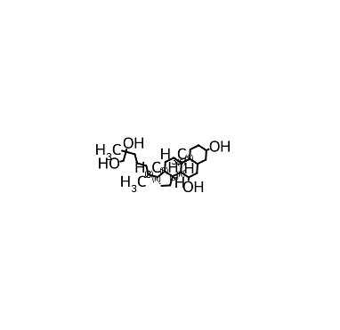 C[C@H](CCCC(C)(O)CO)[C@H]1CC[C@H]2[C@@H]3C(O)CC4CC(O)CC[C@]4(C)[C@H]3CC[C@]12C